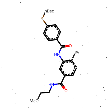 CCCCCCCCCCSc1ccc(C(=O)Nc2cc(C(=O)NCCOC)ccc2C(C)C)cc1